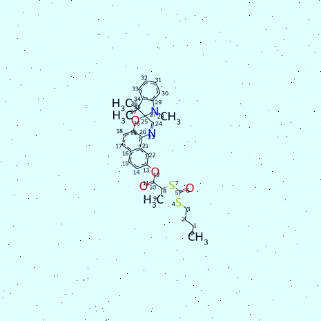 CCCCSC(=O)SC(C)C(=O)Oc1ccc2ccc3c(c2c1)N=CC1(O3)N(C)c2ccccc2C1(C)C